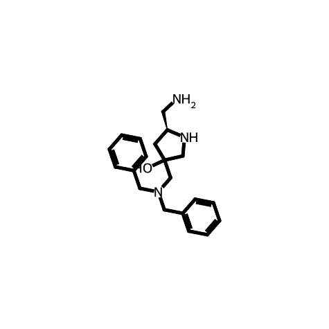 NC[C@@H]1CC(O)(CN(Cc2ccccc2)Cc2ccccc2)CN1